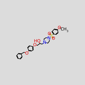 COc1ccc(S(=O)(=O)N2CCN(CC(O)COc3ccc(OCc4ccccc4)cc3)CC2)cc1